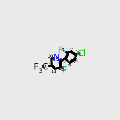 Fc1cc(Cl)[c]cc1-c1ncc(C(F)(F)F)cc1F